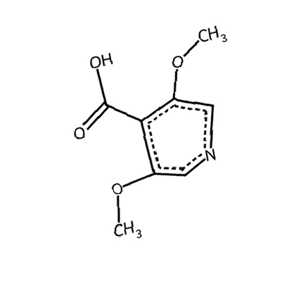 COc1cncc(OC)c1C(=O)O